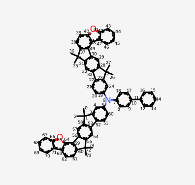 CC1(C)c2cc(N(c3ccc(-c4ccccc4)cc3)c3ccc4c(c3)C(C)(C)c3cc5c(cc3-4)C(C)(C)c3ccc4oc6ccccc6c4c3-5)ccc2-c2cc3c(cc21)-c1c(ccc2c1oc1ccccc12)C3(C)C